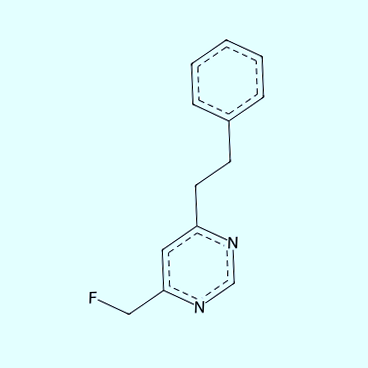 FCc1cc(CCc2ccccc2)ncn1